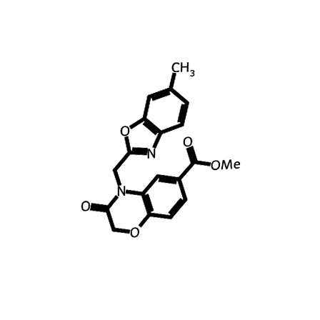 COC(=O)c1ccc2c(c1)N(Cc1nc3ccc(C)cc3o1)C(=O)CO2